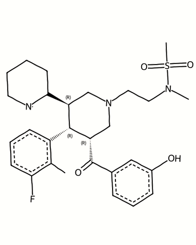 Cc1c(F)cccc1[C@H]1[C@@H](C(=O)c2cccc(O)c2)CN(CCN(C)S(C)(=O)=O)C[C@@H]1C1CCCC[N]1